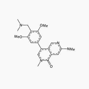 CNc1cc2c(=O)n(C)cc(-c3cc(OC)c(CN(C)C)c(OC)c3)c2cn1